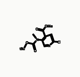 COC(=O)c1cc(Cl)ncc1N(C)C(=O)OC(C)(C)C